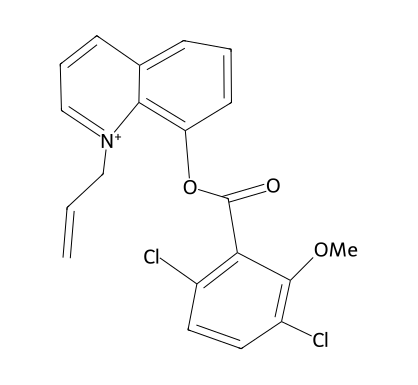 C=CC[n+]1cccc2cccc(OC(=O)c3c(Cl)ccc(Cl)c3OC)c21